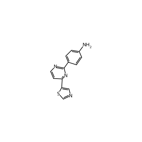 Nc1ccc(-c2nccc(-c3cncs3)n2)cc1